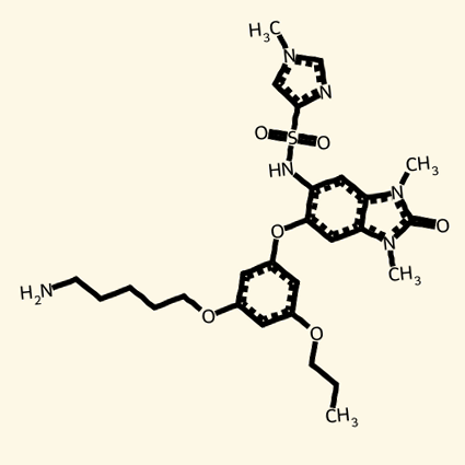 CCCOc1cc(OCCCCCN)cc(Oc2cc3c(cc2NS(=O)(=O)c2cn(C)cn2)n(C)c(=O)n3C)c1